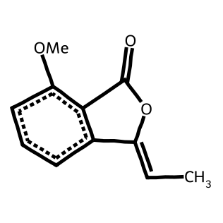 CC=C1OC(=O)c2c(OC)cccc21